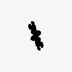 CCCCN(CC(=O)c1cccc2cc3c(C(=O)CN(CCCC)CC(C)(C)CC)cccc3cc12)CC(C)(C)CC